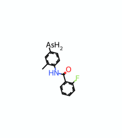 Cc1cc([AsH2])ccc1NC(=O)c1ccccc1F